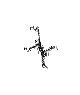 CCCCCCCCCCC(O)CN(CCCCC1OC(=O)C(CCCCN(C[C@H](O)CCCCCCCCCC)C[C@H](O)CCCCCCCCCC)OC1=O)C[C@H](O)CCCCCCCCCC